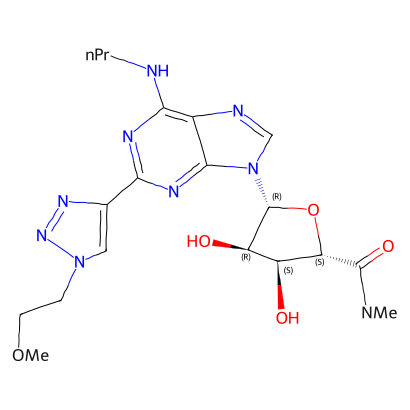 CCCNc1nc(-c2cn(CCOC)nn2)nc2c1ncn2[C@@H]1O[C@H](C(=O)NC)[C@@H](O)[C@H]1O